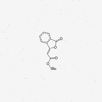 CC(C)(C)OC(=O)/C=C1\OC(=O)c2ccccc21